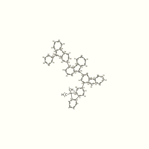 CC1(C)c2ccccc2-c2ccc(-c3cc(-n4c5ccccc5c5c(-c6ccc7c8ccccc8n(-c8ccccc8)c7c6)cccc54)cc4c3sc3ccccc34)cc21